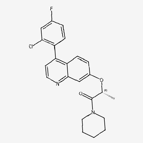 C[C@@H](Oc1ccc2c(-c3ccc(F)cc3Cl)ccnc2c1)C(=O)N1CCCCC1